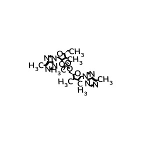 CC[C@H]1O[C@@H](n2cnc3c(C)ncnc32)C(OP(C)(=O)OC[C@H]2O[C@@H](n3cnc4c(C)ncnc43)C(C)C2C)C1C